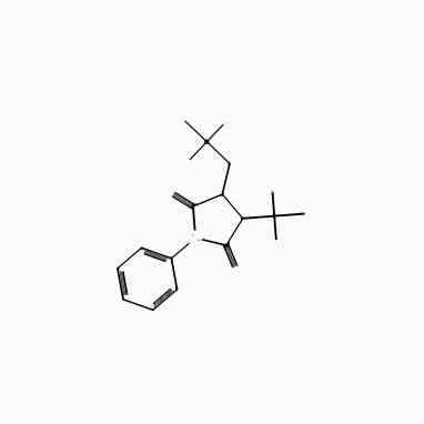 CCC(C)(CC)CC1C(=O)N(c2ccccc2)C(=O)C1C(C)(CC)CC